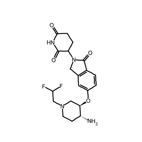 N[C@@H]1CCN(CC(F)F)C[C@H]1Oc1ccc2c(c1)CN(C1CCC(=O)NC1=O)C2=O